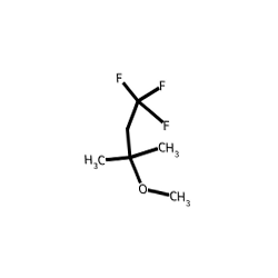 COC(C)(C)CC(F)(F)F